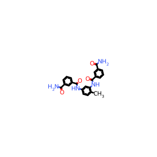 Cc1ccc(NC(=O)c2cccc(C(N)=O)c2)cc1NC(=O)c1cccc(C(N)=O)c1